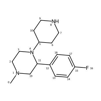 CN1CCN(C2CCNCC2)C(c2ccc(F)cc2)C1